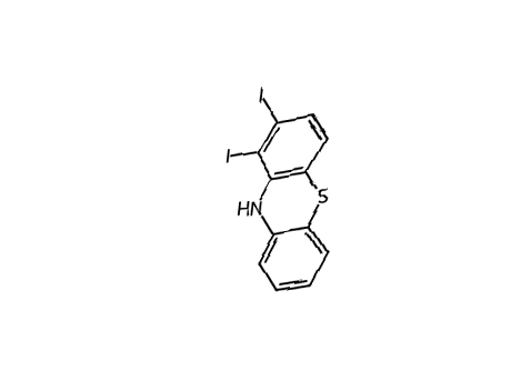 Ic1ccc2c(c1I)Nc1ccccc1S2